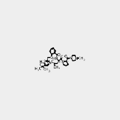 CC(C)C[C@@H](NC(=O)c1ccccc1OCc1ncc(C(C)(C)C)s1)C(=O)N1CCC[C@@H]1C(=O)N1CCN(C)CC1